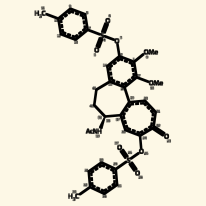 COc1c(OS(=O)(=O)c2ccc(C)cc2)cc2c(c1OC)-c1ccc(=O)c(OS(=O)(=O)c3ccc(C)cc3)cc1[C@@H](NC(C)=O)CC2